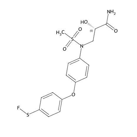 CS(=O)(=O)N(C[C@H](O)C(N)=O)c1ccc(Oc2ccc(SF)cc2)cc1